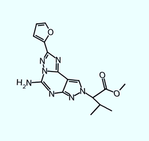 COC(=O)C(C(C)C)n1cc2c(nc(N)n3nc(-c4ccco4)nc23)n1